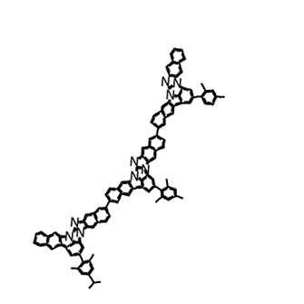 Cc1ccc(-c2cc3c4cc5cc(-c6ccc7cc8c(cc7c6)nc6n8c7cc(-c8c(C)cc(C)cc8C)cc8c9cc%10cc(-c%11ccc%12cc%13c(cc%12c%11)nc%11n%13c%12cc(-c%13c(C)cc(C(C)C)cc%13C)cc%13c%14cc%15ccccc%15cc%14n%11c%13%12)ccc%10cc9n6c87)ccc5cc4n4c3c(c2)n2c3cc5ccccc5cc3nc24)c(C)c1